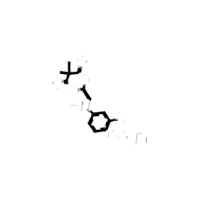 CCOC(=O)c1ccc(NC=C2OC(=O)C(C)(C)C(=O)O2)cc1Br